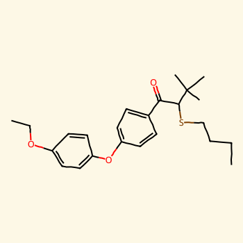 CCCCSC(C(=O)c1ccc(Oc2ccc(OCC)cc2)cc1)C(C)(C)C